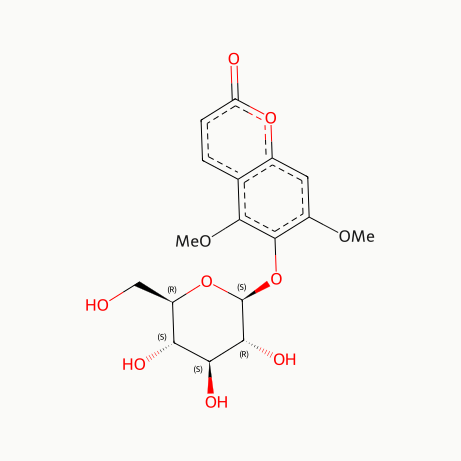 COc1cc2oc(=O)ccc2c(OC)c1O[C@@H]1O[C@H](CO)[C@@H](O)[C@H](O)[C@H]1O